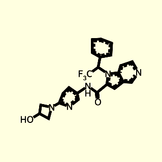 O=C(Nc1ccc(N2CC(O)C2)nc1)c1cc2cnccc2n1C(c1ccccc1)C(F)(F)F